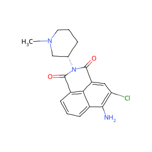 CN1CCC[C@H](N2C(=O)c3cccc4c(N)c(Cl)cc(c34)C2=O)C1